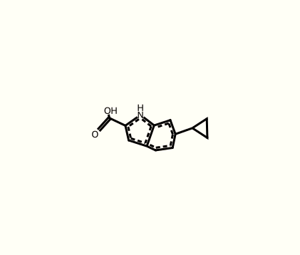 O=C(O)c1cc2ccc(C3CC3)cc2[nH]1